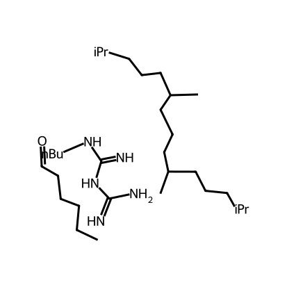 CC(C)CCCC(C)CCCC(C)CCCC(C)C.CCCCCC=O.CCCCNC(=N)NC(=N)N